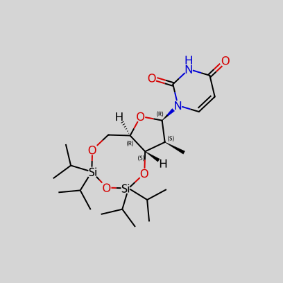 CC(C)[Si]1(C(C)C)OC[C@H]2O[C@@H](n3ccc(=O)[nH]c3=O)[C@@H](C)[C@@H]2O[Si](C(C)C)(C(C)C)O1